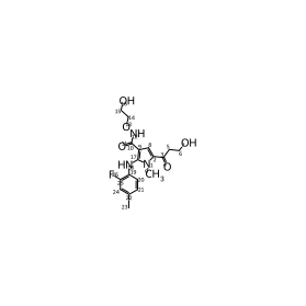 Cn1c(C(=O)CCO)cc(C(=O)NOCCO)c1Nc1ccc(I)cc1F